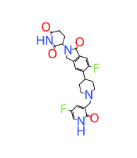 O=C1CCC(N2Cc3cc(C4CCN(Cc5cc(F)c[nH]c5=O)CC4)c(F)cc3C2=O)C(=O)N1